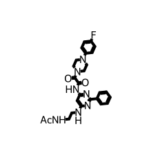 CC(=O)NCCNc1cc(NC(=O)C(=O)N2CCN(c3ccc(F)cc3)CC2)nc(-c2ccccc2)n1